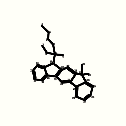 CCCCC(C)(CC)n1c2ccccc2c2cc3c(cc21)C(C)(C)c1ccccc1-3